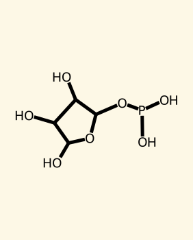 OC1OC(OP(O)O)C(O)C1O